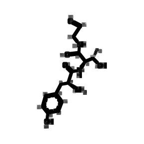 C[C@H](O)[C@@H](NC(=O)[C@@H](N)Cc1ccc(O)cc1)C(=O)NC[C]=O